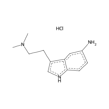 CN(C)CCc1c[nH]c2ccc(N)cc12.Cl